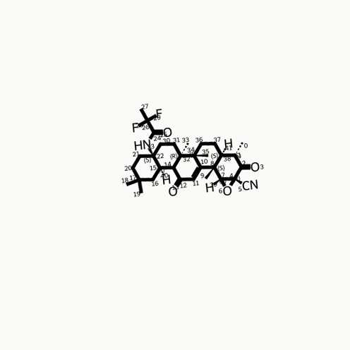 C[C@@H]1C(=O)[C@]2(C#N)O[C@@H]2[C@]2(C)C3=CC(=O)C4[C@H]5CC(C)(C)CC[C@]5(NC(=O)C(C)(F)F)CC[C@@]4(C)[C@]3(C)CC[C@@H]12